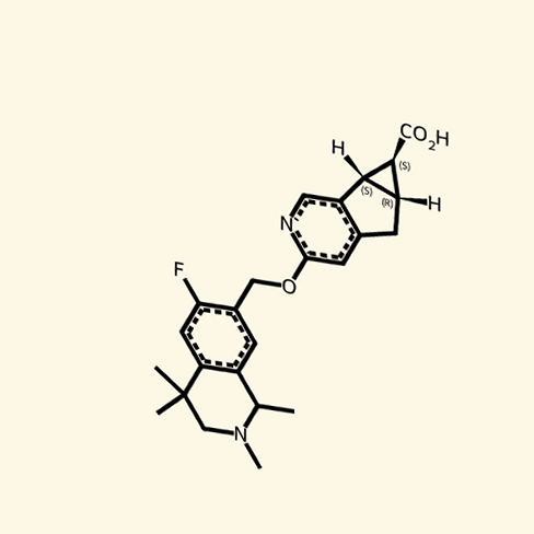 CC1c2cc(COc3cc4c(cn3)[C@H]3[C@@H](C4)[C@@H]3C(=O)O)c(F)cc2C(C)(C)CN1C